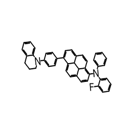 Fc1ccccc1N(C1=C2C=CC3=CC=C(c4ccc(N5CCCc6ccccc65)cc4)C4=CC=C(C=C1)C2C34)c1ccccc1